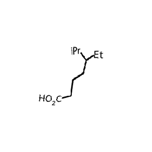 CCC(CCCC(=O)O)C(C)C